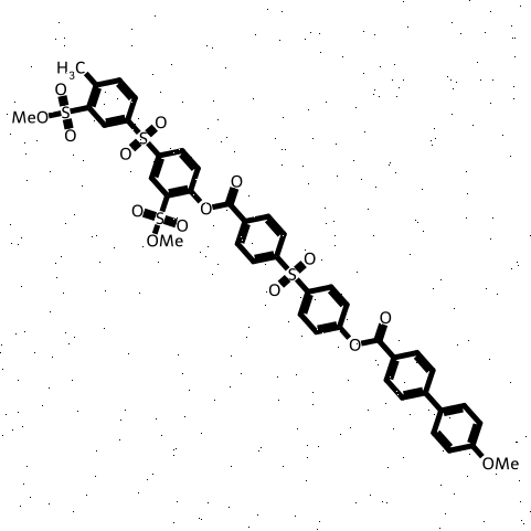 COc1ccc(-c2ccc(C(=O)Oc3ccc(S(=O)(=O)c4ccc(C(=O)Oc5ccc(S(=O)(=O)c6ccc(C)c(S(=O)(=O)OC)c6)cc5S(=O)(=O)OC)cc4)cc3)cc2)cc1